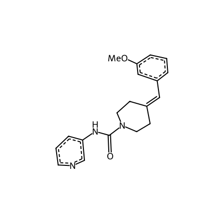 COc1cccc(C=C2CCN(C(=O)Nc3cccnc3)CC2)c1